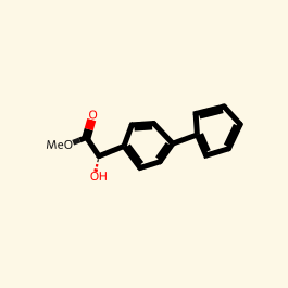 COC(=O)[C@@H](O)c1ccc(-c2ccccc2)cc1